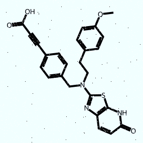 COc1ccc(CCN(Cc2ccc(C#CC(=O)O)cc2)c2nc3ccc(=O)[nH]c3s2)cc1